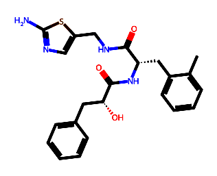 Cc1ccccc1C[C@H](NC(=O)[C@H](O)Cc1ccccc1)C(=O)NCc1cnc(N)s1